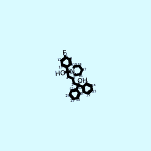 OC(CCCC(O)(c1ccc(F)cc1)N1CCCCC1)(c1ccccc1)c1ccccc1